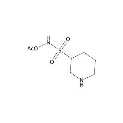 CC(=O)ONS(=O)(=O)C1CCCNC1